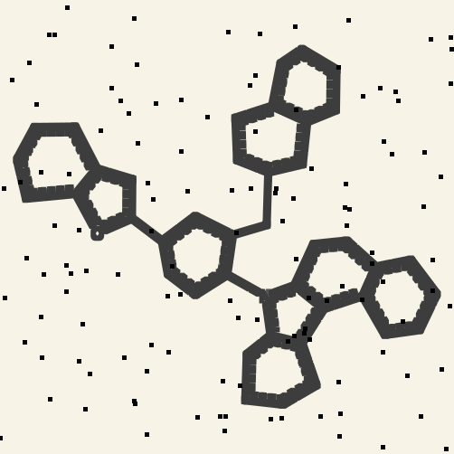 c1ccc2cc(Cc3cc(-c4cc5ccccc5o4)ccc3-n3c4ccccc4c4c5ccccc5ccc43)ccc2c1